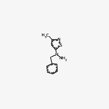 Cc1cc(N(N)Cc2ccccc2)sn1